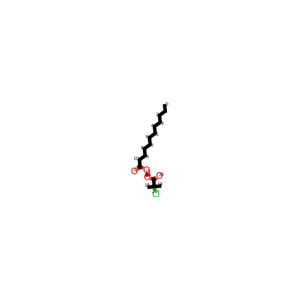 CCCCCCCCCCCC(=O)OOC(=O)C(C)(C)Cl